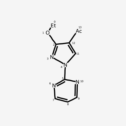 CCOc1nn(-c2ncccn2)cc1C(C)=O